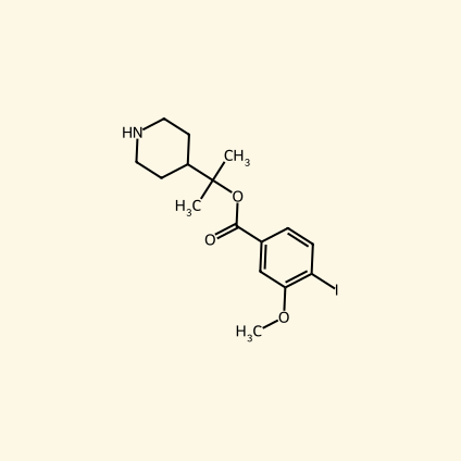 COc1cc(C(=O)OC(C)(C)C2CCNCC2)ccc1I